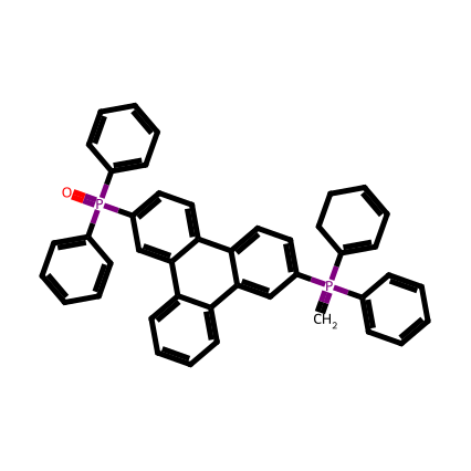 C=P(C1=CC=CCC1)(c1ccccc1)c1ccc2c3ccc(P(=O)(c4ccccc4)c4ccccc4)cc3c3ccccc3c2c1